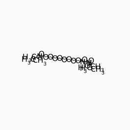 CCC(C)(C)C1CC(=O)N(CCC(=O)NCCOCCOCCOCCOCCOCCOCCOCCOCCC(=O)N2CCC(C(C)(C)C)CC2)C1=O